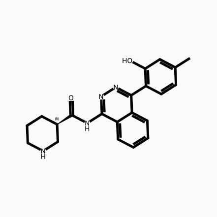 Cc1ccc(-c2nnc(NC(=O)[C@@H]3CCCNC3)c3ccccc23)c(O)c1